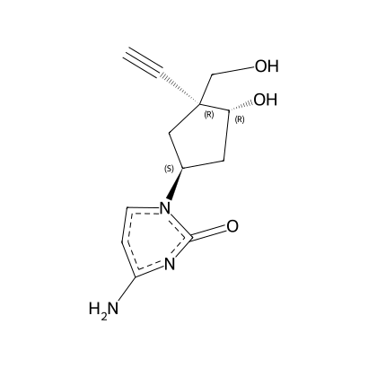 C#C[C@@]1(CO)C[C@H](n2ccc(N)nc2=O)C[C@H]1O